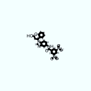 O=C(O)CC(c1ccccc1)n1cnc2cc(NC(=O)c3cc([N+](=O)[O-])cc([N+](=O)[O-])c3)ccc21